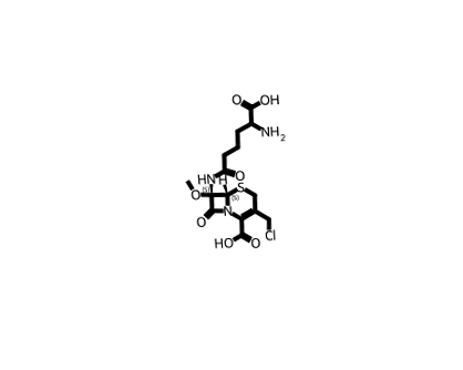 CO[C@@]1(NC(=O)CCCC(N)C(=O)O)C(=O)N2C(C(=O)O)=C(CCl)CS[C@H]21